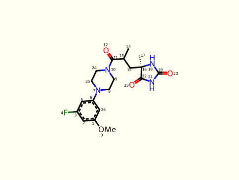 COc1cc(F)cc(N2CCN(C(=O)C(C)C[C@@]3(C)NC(=O)NC3=O)CC2)c1